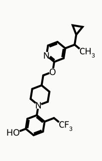 CC(c1ccnc(OCC2CCN(c3cc(O)ccc3CC(F)(F)F)CC2)c1)C1CC1